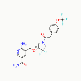 NC(=O)c1cnc(N)c(CO[C@@H]2CN(C(=O)Cc3ccc(OC(F)(F)F)cc3)CC2(F)F)c1